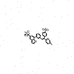 Cc1ccc(/C(=C/c2cccc(-c3cc(C(C)(C)S(C)(=O)=O)cc4cccnc34)c2)c2ccc(S(C)(=O)=O)cc2)nc1